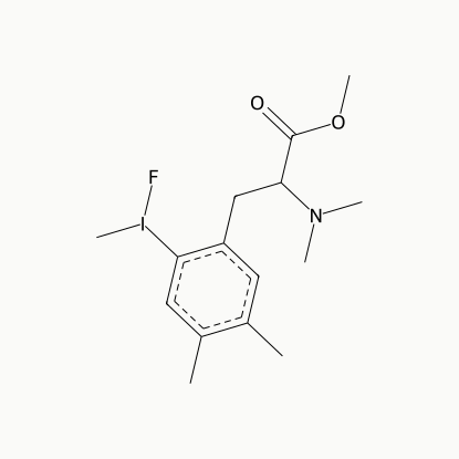 COC(=O)C(Cc1cc(C)c(C)cc1I(C)F)N(C)C